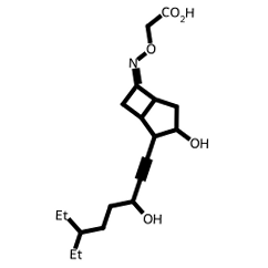 CCC(CC)CCC(O)C#CC1C(O)CC2C(=NOCC(=O)O)CC21